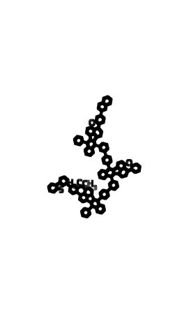 CC1(C)c2cc(-c3cccc4c3sc3ccccc34)ccc2-c2ccc3c4c(ccc1c24)-c1c-3c(-c2ccccc2)c2ccccc2c1-c1ccc(-c2cccc(-c3c4ccccc4c(-c4ccc(-c5cccc(-c6c7ccccc7c(-c7ccccc7)c7c8ccc9oc%10cc(-c%11ccc%12ccccc%12c%11)ccc%10c%10ccc(c67)c8c9%10)c5)cc4)c4c5ccc6oc7ccccc7c7ccc(c34)c5c67)c2)cc1